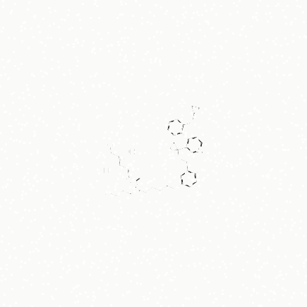 Cc1ccc(SCCCCN(CCCCO)C(=O)[C@@H](O)[C@@H](O)[C@H](O)[C@@H](O)CO)cc1COC1(c2cnccc2-c2ccccc2OC2CC2)CC1